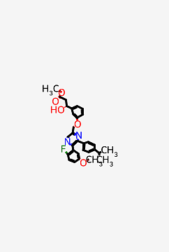 COC(=O)C[C@@H](O)c1cccc(OCc2cnc(-c3cc(OC)ccc3F)c(-c3ccc(C(C)C)cc3)n2)c1